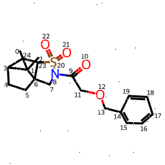 CC1(C)C2CCC13CN(C(=O)COCc1ccccc1)S(=O)(=O)C3C2